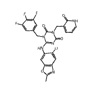 Cc1nc2cc(Cl)c(Nc3nc(=O)n(Cc4ccc[nH]c4=O)c(=O)n3Cc3cc(F)c(F)c(F)c3)cc2o1